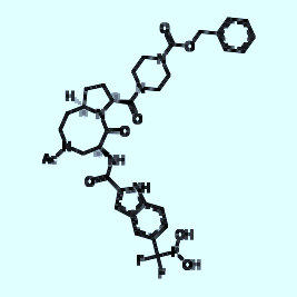 CC(=O)N1CC[C@H]2CC[C@@H](C(=O)N3CCN(C(=O)OCc4ccccc4)CC3)N2C(=O)[C@@H](NC(=O)c2cc3cc(C(F)(F)P(O)O)ccc3[nH]2)C1